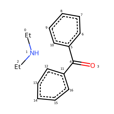 CCNCC.O=C(c1ccccc1)c1ccccc1